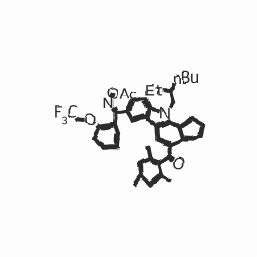 CCCCC(CC)Cn1c2ccc(/C(=N\OC(C)=O)C3=C(OCC(F)(F)F)CCC=C3)cc2c2cc(C(=O)c3c(C)cc(C)cc3C)c3ccccc3c21